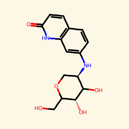 O=c1ccc2ccc(N[C@@H]3COC(CO)[C@@H](O)C3O)cc2[nH]1